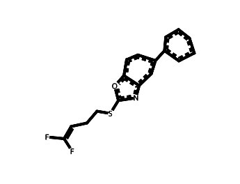 FC(F)=CCCSc1nc2cc(-c3ccccc3)ccc2o1